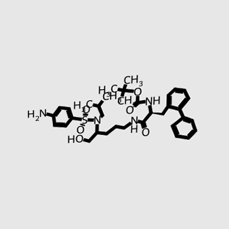 CC(C)CN(C(CO)CCCNC(=O)[C@H](Cc1ccccc1-c1ccccc1)NC(=O)OC(C)(C)C)S(=O)(=O)c1ccc(N)cc1